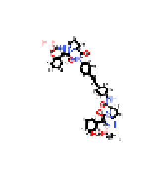 BC(=O)N[C@H](C(=O)N1CCC[C@H]1C(=O)Nc1ccc(C#Cc2ccc(NC(=O)[C@@H]3CCCN3C(=O)[C@@H](NB(C)O)c3ccccc3)cc2)cc1)c1ccccc1